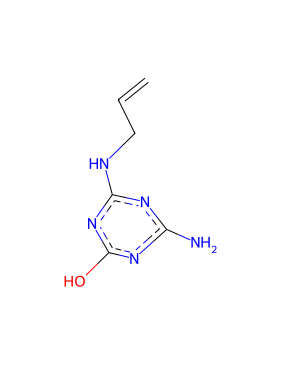 C=CCNc1nc(N)nc(O)n1